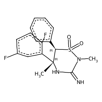 CN1C(=N)N[C@](C)(c2cc(F)ccc2F)[C@@H](c2ccccc2)S1(=O)=O